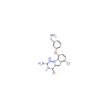 CN(C(=N)N)C(=O)c1cc2c(Cl)ccc(Oc3cccc(CN)c3)c2[nH]1